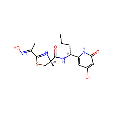 CCC[C@@H](NC(=O)[C@]1(C)CSC(/C(C)=N/O)=N1)c1cc(O)cc(=O)[nH]1